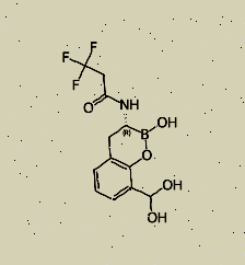 O=C(CC(F)(F)F)N[C@H]1Cc2cccc(C(O)O)c2OB1O